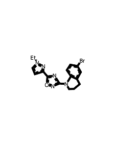 CCn1ccc(-c2nc(N3CCCc4cc(Br)ccc43)no2)n1